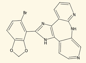 Brc1ccc2c(c1-c1nc3c([nH]1)-c1ccncc1Nc1ncccc1-3)OCO2